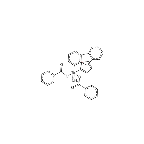 [CH2]=[Ti]([O]C(=O)c1ccccc1)([O]C(=O)c1ccccc1)([C]1=CC=CC1)[c]1cccc2c1Cc1ccccc1-2